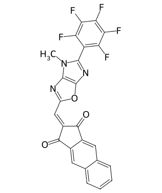 Cn1c(-c2c(F)c(F)c(F)c(F)c2F)nc2oc(C=C3C(=O)c4cc5ccccc5cc4C3=O)nc21